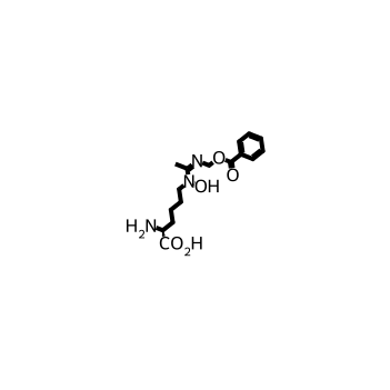 C/C(=N/COC(=O)c1ccccc1)N(O)CCCC[C@H](N)C(=O)O